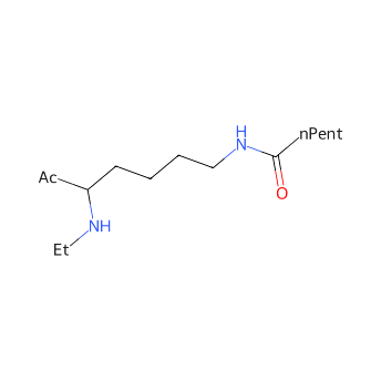 CCCCCC(=O)NCCCCC(NCC)C(C)=O